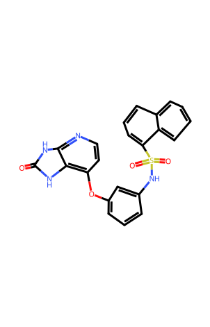 O=c1[nH]c2nccc(Oc3cccc(NS(=O)(=O)c4cccc5ccccc45)c3)c2[nH]1